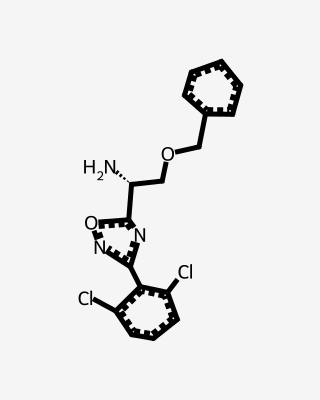 N[C@H](COCc1ccccc1)c1nc(-c2c(Cl)cccc2Cl)no1